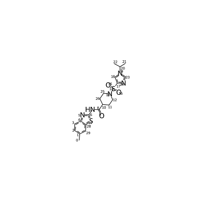 Cc1ccc2nc(NC(=O)C3CCN(S(=O)(=O)c4cn(C(C)C)cn4)CC3)sc2c1